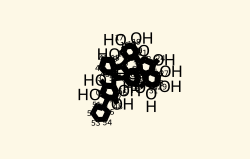 Oc1c(O)c(-c2c3ccccc3c(-c3c(O)c(O)c(O)c4oc5c(O)c6c(O)c(O)c(O)c(O)c6c(O)c5c34)c3ccccc23)c(O)c(O)c1C1=CCCC=C1